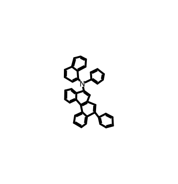 c1ccc(-c2cc3cc(N(c4ccccc4)c4cccc5ccccc45)c4ccccc4c3c3ccccc23)cc1